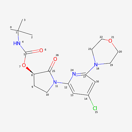 CC(C)(C)NC(=O)O[C@@H]1CCN(c2cc(Cl)cc(N3CCOCC3)n2)C1=O